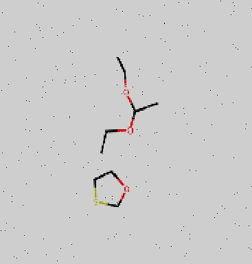 C1CSCO1.CCOC(C)OCC